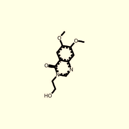 COc1cc2ncn(CCO)c(=O)c2cc1OC